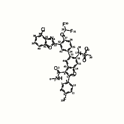 CNC(=O)c1c(-c2ccc(F)cc2)oc2cc(N(C)S(C)(=O)=O)c(-c3ccc(OC(F)F)c(-c4nc5c(Cl)cccc5o4)c3)cc12